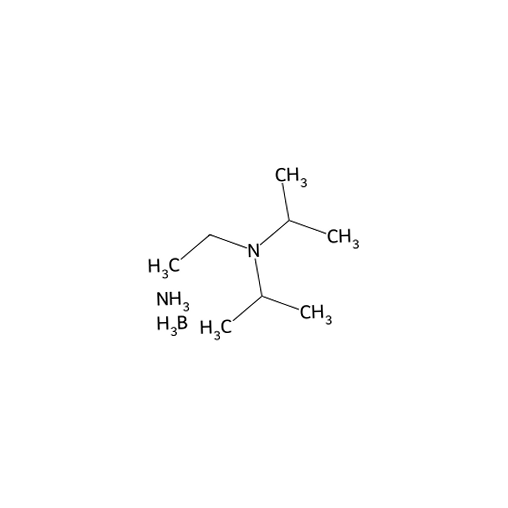 B.CCN(C(C)C)C(C)C.N